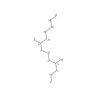 C[CH]CC(C)CCCC(C)CCCCC